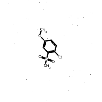 COc1ccc(Cl)c(S(C)(=O)=O)c1